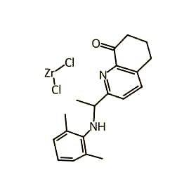 Cc1cccc(C)c1NC(C)c1ccc2c(n1)C(=O)CCC2.[Cl][Zr][Cl]